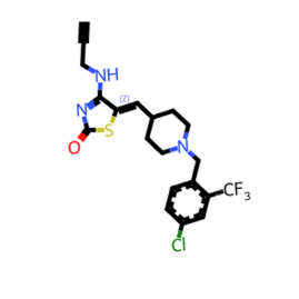 C#CCNC1=NC(=O)S/C1=C\C1CCN(Cc2ccc(Cl)cc2C(F)(F)F)CC1